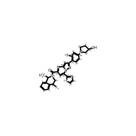 CC1c2ccccc2C(F)CN1C(=O)c1cc(-c2nccs2)n2nc(-c3ccc(N4CCC(O)C4)cc3F)cc2n1